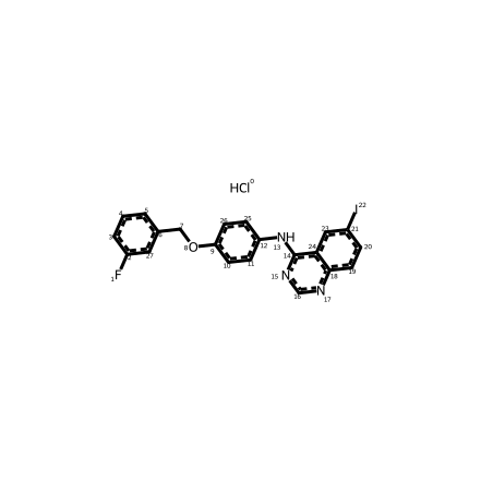 Cl.Fc1cccc(COc2ccc(Nc3ncnc4ccc(I)cc34)cc2)c1